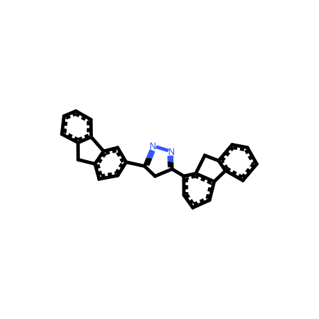 c1ccc2c(c1)Cc1ccc(C3=NN=C(c4cccc5c4Cc4ccccc4-5)C3)cc1-2